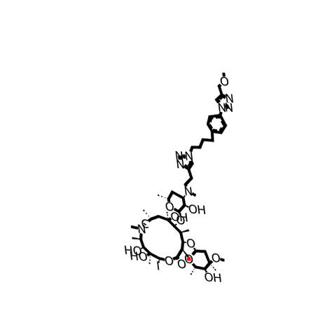 COCc1cn(-c2ccc(CCCCn3cc(CCN(C)[C@H]4C[C@@H](C)O[C@@H](O[C@@H]5[C@@H](C)[C@H](O[C@H]6C[C@@](C)(OC)[C@@H](O)[C@H](C)O6)[C@@H](C)C(=O)O[C@H](I)[C@@](C)(O)[C@H](O)[C@@H](C)N(C)C[C@H](C)C[C@@]5(C)O)[C@@H]4O)nn3)cc2)nn1